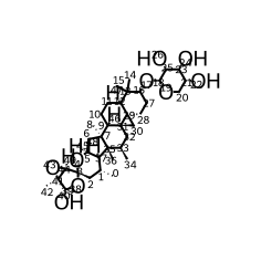 C[C@@H]1C[C@@]2(O[C@H]3C[C@@]4(C)[C@@H]5CC[C@H]6C(C)(C)[C@@H](O[C@@H]7OC[C@@H](O)[C@H](O)[C@H]7O)CC[C@@]67C[C@@]57C[C@@H](C)[C@]4(C)[C@@H]13)O[C@H](O)[C@@]1(C)O[C@@H]21